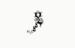 COOOSC(=C(F)F)S(=O)(=O)N1CCOCC1